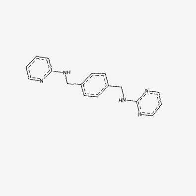 c1ccc(NCc2ccc(CNc3ncccn3)cc2)nc1